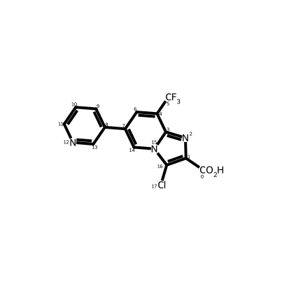 O=C(O)c1nc2c(C(F)(F)F)cc(-c3cccnc3)cn2c1Cl